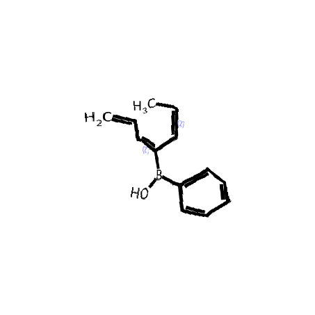 C=C/C=C(\C=C/C)B(O)c1ccccc1